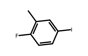 Cc1cc(I)ccc1F